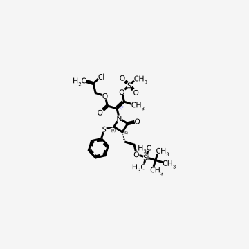 C=C(Cl)COC(=O)/C(=C(/C)OS(C)(=O)=O)N1C(=O)[C@H](CCO[Si](C)(C)C(C)(C)C)[C@H]1Sc1ccccc1